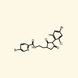 Cc1cc(Br)cc(Cl)c1C1C(=O)CC(CCNC(=O)c2ccc(Br)cn2)C1=O